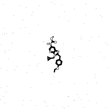 CCOc1ccc(Cc2nc3cc(NC(=O)OC)cnc3n2CC2CC2)cc1